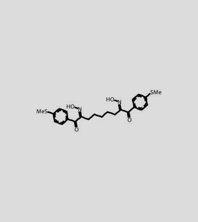 CSc1ccc(C(=O)C(CCCCCC(=NO)C(=O)c2ccc(SC)cc2)=NO)cc1